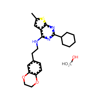 Cc1cc2c(NCCc3ccc4c(c3)OCCO4)nc(C3CCCCC3)nc2s1.O=C(O)O